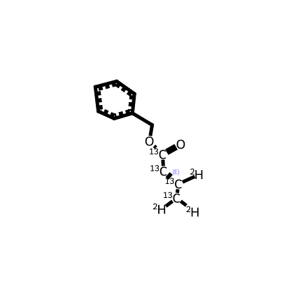 [2H]/[13C](=[13CH]\[13C](=O)OCc1ccccc1)[13CH]([2H])[2H]